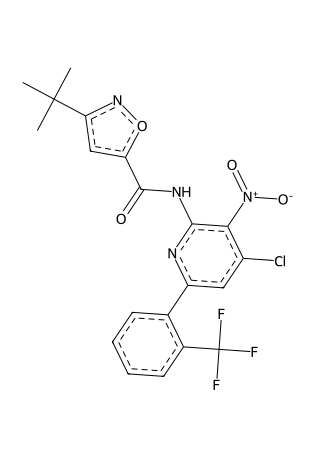 CC(C)(C)c1cc(C(=O)Nc2nc(-c3ccccc3C(F)(F)F)cc(Cl)c2[N+](=O)[O-])on1